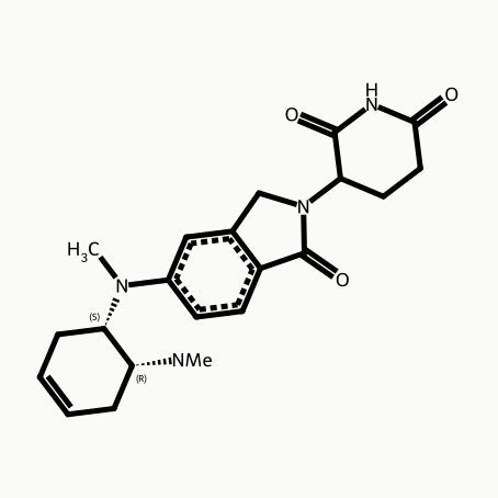 CN[C@@H]1CC=CC[C@@H]1N(C)c1ccc2c(c1)CN(C1CCC(=O)NC1=O)C2=O